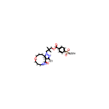 CCc1nn(CC(C)(C)COC(=O)c2ccc(S(=O)(=O)NC)cc2)c2c1C(=O)NCCCOCCC2